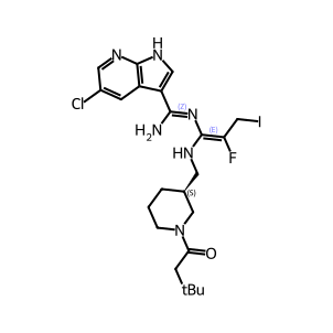 CC(C)(C)CC(=O)N1CCC[C@@H](CNC(/N=C(\N)c2c[nH]c3ncc(Cl)cc23)=C(\F)CI)C1